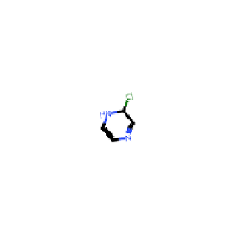 Cl[C]1C=NC=CN1